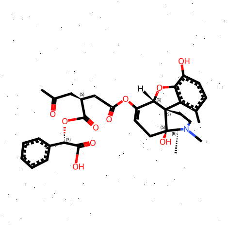 CC(=O)C[C@@H](CC(=O)OC1=CC[C@@]2(O)[C@@H](C)N(C)CC[C@@]23c2c(C)ccc(O)c2O[C@@H]13)C(=O)O[C@H](C(=O)O)c1ccccc1